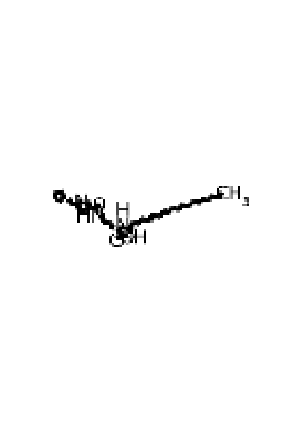 CCC=CCC=CCC=CCC=CCC=CCCCC(=O)N[C@@H](CCCCNC(=O)c1ccc(CCN2CCCC2)nc1)C(=O)O